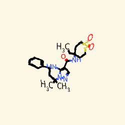 CCC1(NC(=O)c2cnn3c2NC(c2ccccc2)CC3(C)C)CCS(=O)(=O)CC1